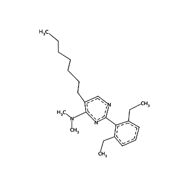 CCCCCCCc1cnc(-c2c(CC)cccc2CC)nc1N(C)C